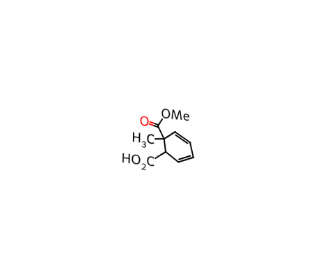 COC(=O)C1(C)C=CC=CC1C(=O)O